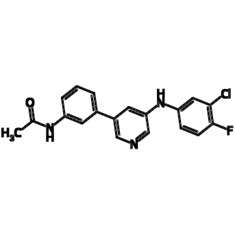 CC(=O)Nc1cccc(-c2cncc(Nc3ccc(F)c(Cl)c3)c2)c1